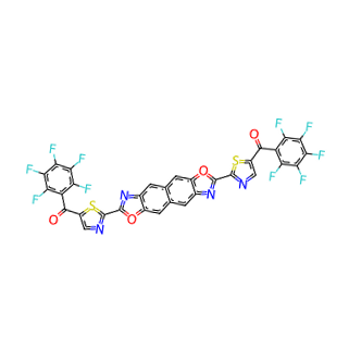 O=C(c1cnc(-c2nc3cc4cc5oc(-c6ncc(C(=O)c7c(F)c(F)c(F)c(F)c7F)s6)nc5cc4cc3o2)s1)c1c(F)c(F)c(F)c(F)c1F